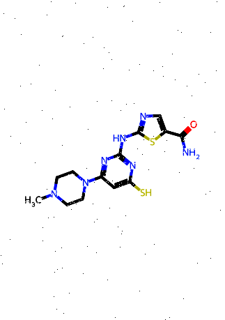 CN1CCN(c2cc(S)nc(Nc3ncc(C(N)=O)s3)n2)CC1